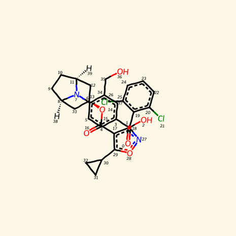 O=C(O)c1ccc(N2[C@@H]3CC[C@H]2C[C@@H](OC(=O)c2c(-c4c(Cl)cccc4Cl)noc2C2CC2)C3)c(CO)c1